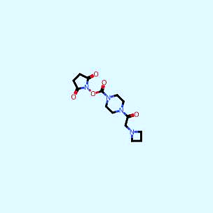 O=C(CN1CCC1)N1CCN(C(=O)ON2C(=O)CCC2=O)CC1